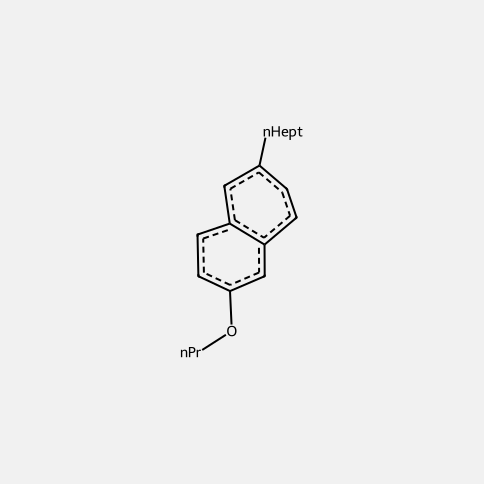 CCCCCCCc1ccc2cc(OCCC)ccc2c1